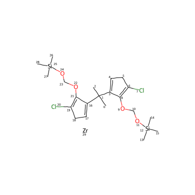 CC(C)(C1=CCC(Cl)=C1OCO[Si](C)(C)C)C1=CCC(Cl)=C1OCO[Si](C)(C)C.[Zr]